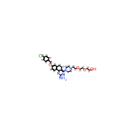 Nc1nc2c(c(N3CCN(CCOCCOCCO)CC3)n1)CCc1cc(OCc3ccc(Cl)cc3)ccc1-2